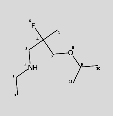 CCNCC(C)(F)COC(C)C